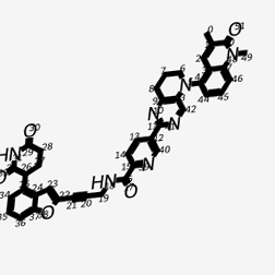 Cc1cc2c(N3CCCc4nc(-c5ccc(C(=O)NCC#Cc6cc7c(C8CCC(=O)NC8=O)cccc7o6)nc5)ncc43)cccc2n(C)c1=O